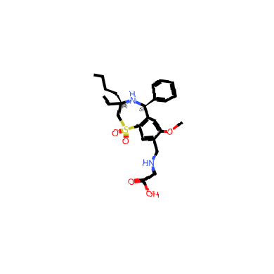 CCCC[C@]1(CC)CS(=O)(=O)c2cc(CNCC(=O)O)c(OC)cc2[C@H](c2ccccc2)N1